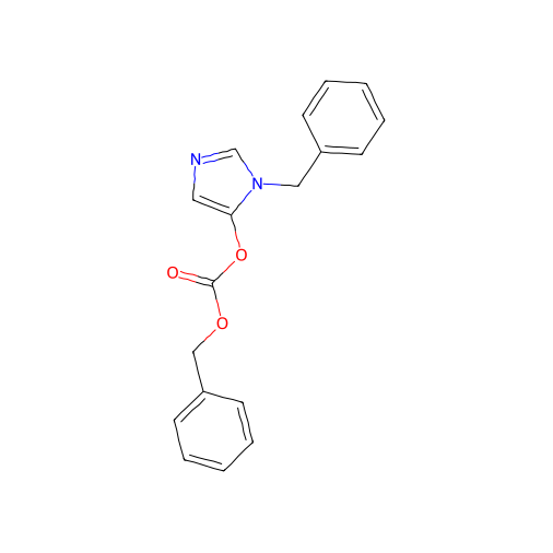 O=C(OCc1ccccc1)Oc1cncn1Cc1ccccc1